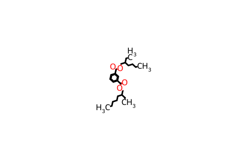 CCCCCC(CC)COC(=O)c1cccc(C(=O)OCC(CC)CCCC)c1